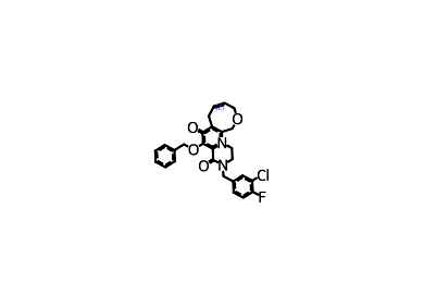 O=C1c2c(OCc3ccccc3)c(=O)c3c(n2CCN1Cc1ccc(F)c(Cl)c1)COC/C=C\C3